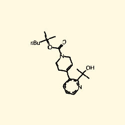 CCCCC(C)(C)OC(=O)N1CC=C(c2cccnc2C(C)(C)O)CC1